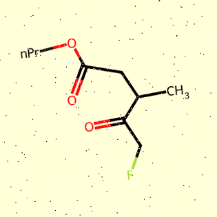 CCCOC(=O)CC(C)C(=O)CF